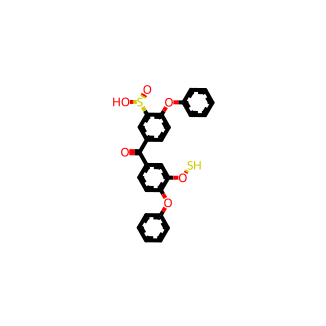 O=C(c1ccc(Oc2ccccc2)c(OS)c1)c1ccc(Oc2ccccc2)c(S(=O)O)c1